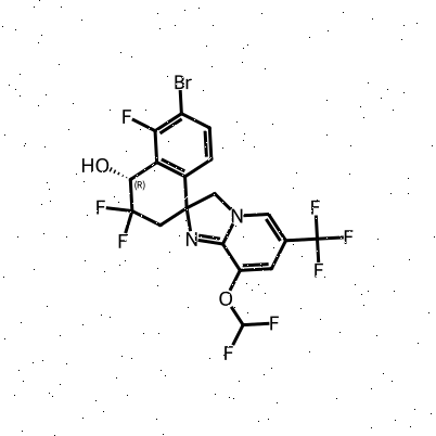 O[C@@H]1c2c(ccc(Br)c2F)C2(CN3C=C(C(F)(F)F)C=C(OC(F)F)C3=N2)CC1(F)F